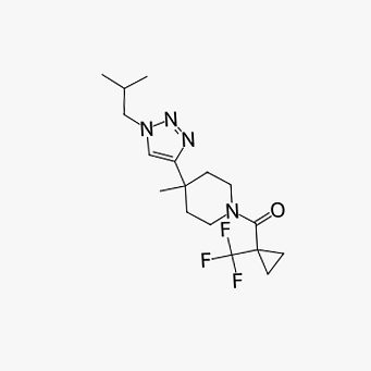 CC(C)Cn1cc(C2(C)CCN(C(=O)C3(C(F)(F)F)CC3)CC2)nn1